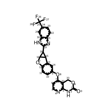 O=C1Nc2nccc(Oc3ccc4c(c3)C3C(O4)C3c3nc4ccc(C(F)(F)F)cc4[nH]3)c2CO1